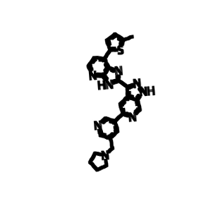 Cc1ccc(-c2ccnc3[nH]c(-c4n[nH]c5cnc(-c6cncc(CN7CCCC7)c6)cc45)nc23)s1